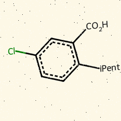 CCCC(C)c1ccc(Cl)cc1C(=O)O